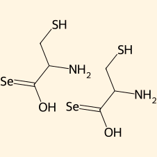 NC(CS)C(O)=[Se].NC(CS)C(O)=[Se]